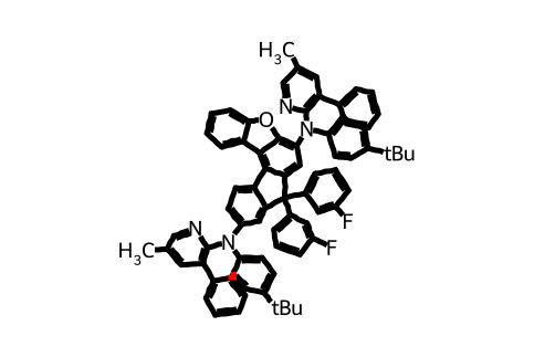 Cc1cnc(N(c2ccc(C(C)(C)C)cc2)c2ccc3c(c2)C(c2cccc(F)c2)(c2cccc(F)c2)c2cc(N(c4ccc(C(C)(C)C)cc4)c4ncc(C)cc4-c4ccccc4)c4oc5ccccc5c4c2-3)c(-c2ccccc2)c1